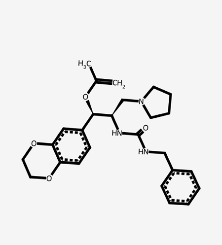 C=C(C)O[C@H](c1ccc2c(c1)OCCO2)[C@@H](CN1CCCC1)NC(=O)NCc1ccccc1